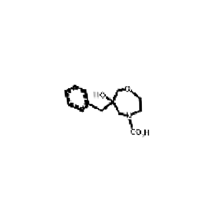 O=C(O)N1CCOCC(O)(Cc2ccccc2)C1